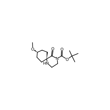 CO[C@H]1CC[C@]2(CC1)NCCN(C(=O)OC(C)(C)C)C2=O